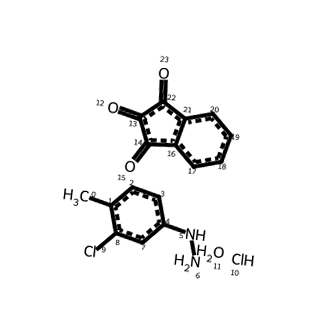 Cc1ccc(NN)cc1Cl.Cl.O.O=c1c(=O)c2ccccc2c1=O